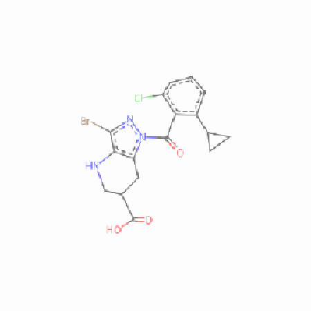 O=C(O)C1CNc2c(Br)nn(C(=O)c3c(Cl)cccc3C3CC3)c2C1